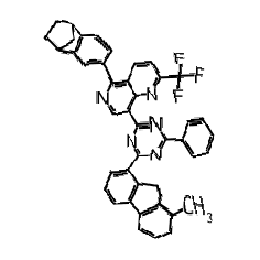 CC1CC=CC2=C1Cc1c2cccc1-c1nc(-c2ccccc2)nc(-c2cnc(-c3ccc4c(c3)C3CCC4C3)c3ccc(C(F)(F)F)nc23)n1